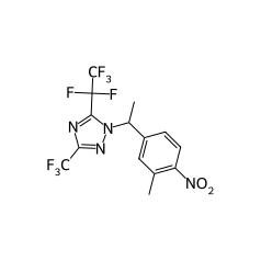 Cc1cc(C(C)n2nc(C(F)(F)F)nc2C(F)(F)C(F)(F)F)ccc1[N+](=O)[O-]